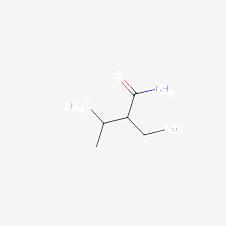 CC(C(=O)O)C(CC(C)(C)C)C(N)=O